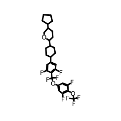 Fc1cc(OC(F)(F)c2c(F)cc(C3CCC(C4CCC(C5CCCC5)CO4)CC3)cc2F)cc(F)c1OC(F)(F)F